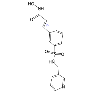 O=C(/C=C/c1cccc(S(=O)(=O)NCc2cccnc2)c1)NO